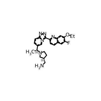 CCOc1cc2nc(-c3nnc4ccc([C@H](C)N5CC[C@@H](CN)C5)cn34)ccc2cc1F